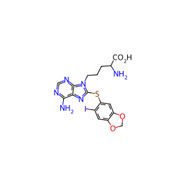 Nc1ncnc2c1nc(Sc1cc3c(cc1I)OCO3)n2CCCC(N)C(=O)O